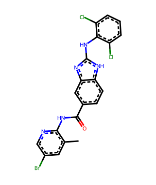 Cc1cc(Br)cnc1NC(=O)c1ccc2[nH]c(Nc3c(Cl)cccc3Cl)nc2c1